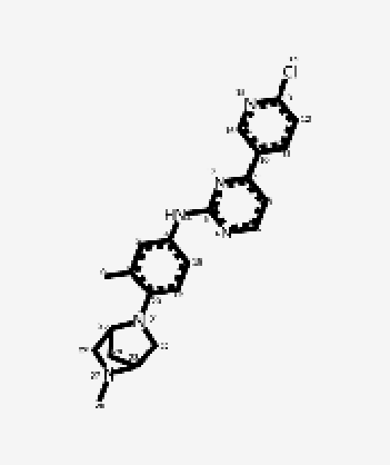 Cc1cc(Nc2nccc(-c3ccc(Cl)nc3)n2)ccc1N1CC2CC1CN2C